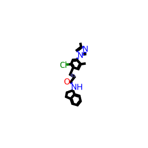 Cc1cn(-c2cc(Cl)c(/C=C/C(=O)NC3CCc4ccccc43)cc2C)cn1